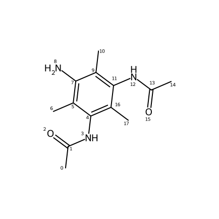 CC(=O)Nc1c(C)c(N)c(C)c(NC(C)=O)c1C